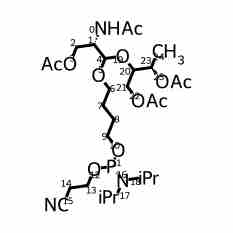 CC(=O)N[C@@H](COC(C)=O)C(OCCCCOP(OCCC#N)N(C(C)C)C(C)C)OC(COC(C)=O)[C@@H](C)OC(C)=O